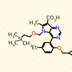 CCc1ccc(OCC2CC2)c(-c2ncnc3c(C(=O)O)c(C)n(COCC[Si](C)(C)C)c23)c1